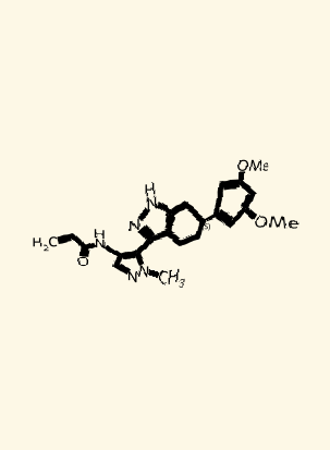 C=CC(=O)Nc1cnn(C)c1-c1n[nH]c2c1CC[C@H](c1cc(OC)cc(OC)c1)C2